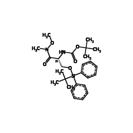 CON(C)C(=O)[C@@H](CO[Si](c1ccccc1)(c1ccccc1)C(C)(C)C)NC(=O)OC(C)(C)C